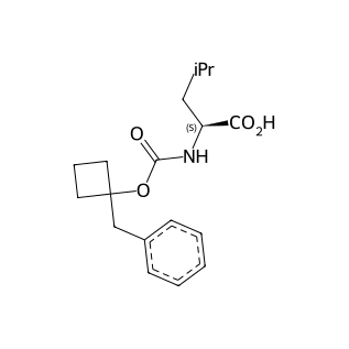 CC(C)C[C@H](NC(=O)OC1(Cc2ccccc2)CCC1)C(=O)O